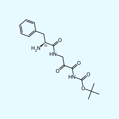 CC(C)(C)OC(=O)NC(=O)C(=O)CNC(=O)[C@@H](N)Cc1ccccc1